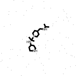 CC(C)NCC1CCN(C(C)(C)NC2CCNCC2)CC1